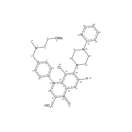 COCCN(C)Cc1ccc(-n2cc(C(=O)O)c(=O)c3cc(F)c(N4CCN(c5ccccn5)CC4)c(Cl)c32)cc1